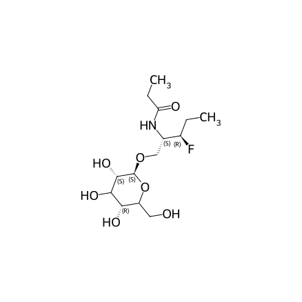 CCC(=O)N[C@@H](CO[C@H]1OC(CO)[C@H](O)C(O)[C@@H]1O)[C@H](F)CC